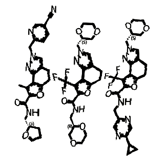 Cc1c(C(=O)NC[C@@H]2CCCO2)oc2c1-c1nn(Cc3ccc(C#N)cn3)cc1CC2.O=C(NC[C@@H]1COCCO1)c1oc2c(c1C(F)(F)F)-c1nn(C[C@H]3COCCO3)cc1CC2.O=C(NCc1cnc(C2CC2)cn1)c1oc2c(c1C(F)(F)F)-c1nn(C[C@H]3COCCO3)cc1CC2